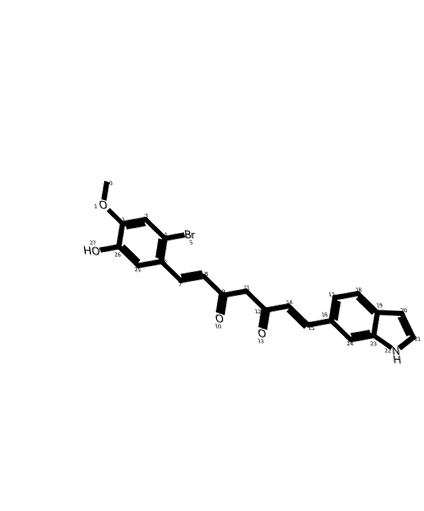 COc1cc(Br)c(C=CC(=O)CC(=O)C=Cc2ccc3cc[nH]c3c2)cc1O